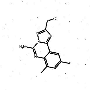 Cc1cc(F)cc2c1nc(N)n1nc(CCl)nc21